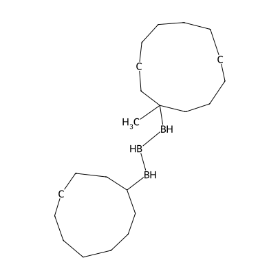 CC1(BBBC2CCCCCCCCC2)CCCCCCCCCC1